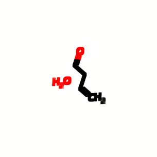 C=CCC=O.O